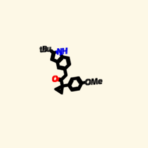 COc1ccc(C2(C(=O)Cc3ccc4[nH]c(C(C)(C)C)cc4c3)CC2)cc1